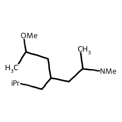 CNC(C)CC(CC(C)C)CC(C)OC